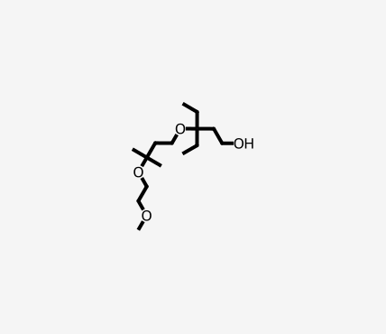 CCC(CC)(CCO)OCCC(C)(C)OCCOC